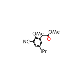 COC(=O)Cc1cc(C(C)C)cc(C#N)c1OC